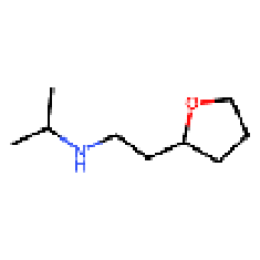 CC(C)NCCC1CCCO1